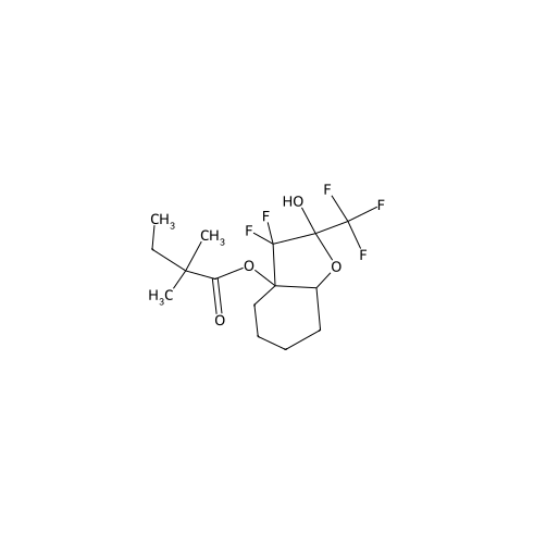 CCC(C)(C)C(=O)OC12CCCCC1OC(O)(C(F)(F)F)C2(F)F